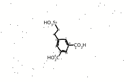 O=C(O)c1cc(CCS(=O)(=O)O)cc(C(=O)O)c1